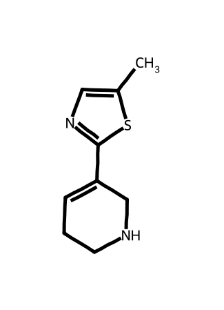 Cc1cnc(C2=CCCNC2)s1